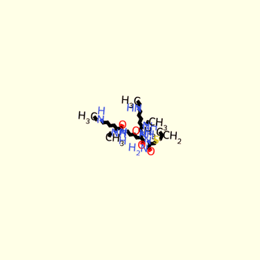 C=C(C)CSCC(NC(=O)C(CCCCNC(=O)C(CCCCNCC)NCC)NC(=O)C(CCCCNCC)NCC)C(N)=O